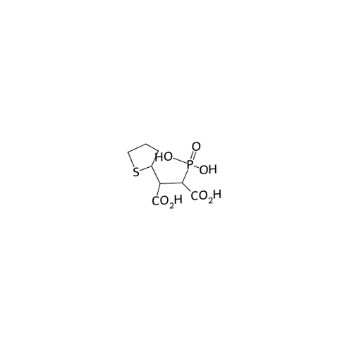 O=C(O)C(C1CCCS1)C(C(=O)O)P(=O)(O)O